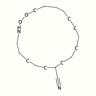 N#CC1CCCCCCCCCCOONCCCCC1